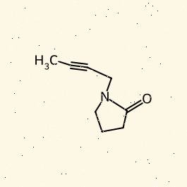 CC#CCN1CCCC1=O